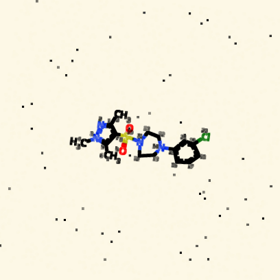 Cc1nn(C)c(C)c1S(=O)(=O)N1CCN(c2cccc(Cl)c2)CC1